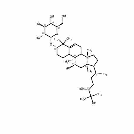 C[C@H](CC[C@@H](O)C(C)(C)O)C1CC[C@@]2(C)C3CC=C4C(CC[C@H](OC5O[C@H](CO)[C@@H](O)[C@H](O)[C@H]5O)C4(C)C)[C@]3(C)[C@H](O)C[C@]12C